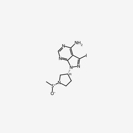 C[S+]([O-])N1CC[C@@H](n2nc(I)c3c(N)ncnc32)C1